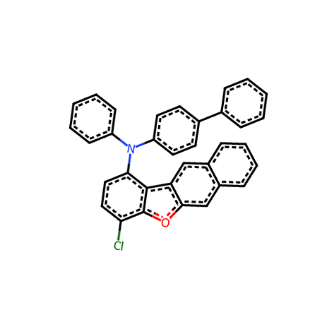 Clc1ccc(N(c2ccccc2)c2ccc(-c3ccccc3)cc2)c2c1oc1cc3ccccc3cc12